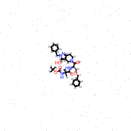 CC(C)(C)OC(=O)NC(C)(C)C(=O)N[C@H](COCc1ccccc1)C(=O)N1CCc2nn(Cc3ccccc3)c(O)c2C1